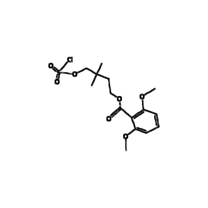 COc1cccc(OC)c1C(=O)OCCC(C)(C)COS(=O)(=O)Cl